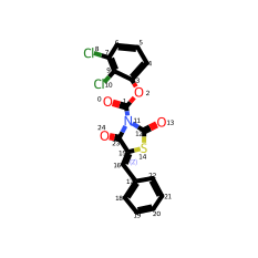 O=C(Oc1cccc(Cl)c1Cl)N1C(=O)S/C(=C\c2ccccc2)C1=O